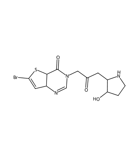 O=C(CC1NCCC1O)CN1C=NC2C=C(Br)SC2C1=O